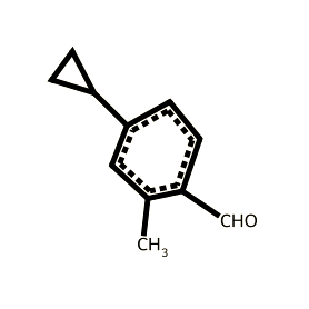 Cc1cc(C2CC2)ccc1C=O